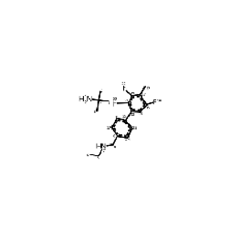 CC(C)(C)N.CCNCc1ccc(-c2cc(F)c(C)c(F)c2F)cc1